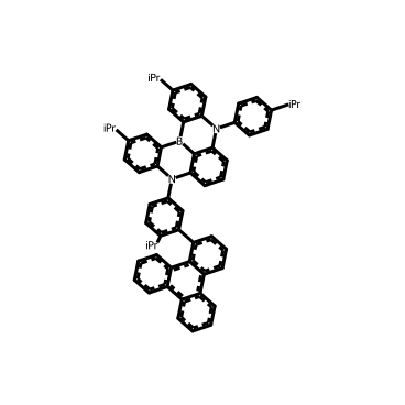 CC(C)c1ccc(N2c3ccc(C(C)C)cc3B3c4cc(C(C)C)ccc4N(c4ccc(C(C)C)c(-c5cccc6c7ccccc7c7ccccc7c56)c4)c4cccc2c43)cc1